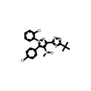 C[S+]([O-])c1c(-c2nnc(C(C)(C)C)s2)nn(-c2ccccc2Cl)c1-c1ccc(Cl)cc1